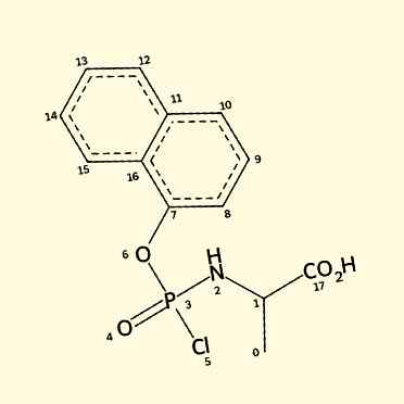 CC(NP(=O)(Cl)Oc1cccc2ccccc12)C(=O)O